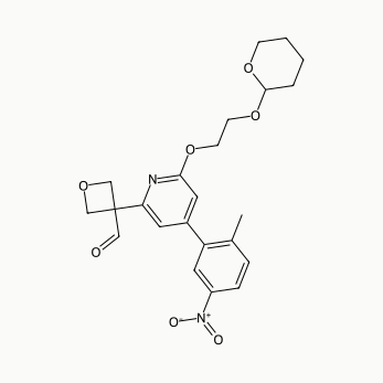 Cc1ccc([N+](=O)[O-])cc1-c1cc(OCCOC2CCCCO2)nc(C2(C=O)COC2)c1